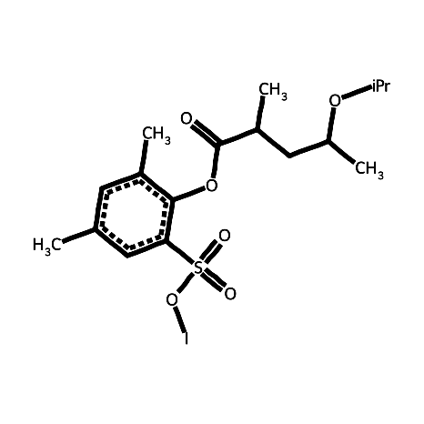 Cc1cc(C)c(OC(=O)C(C)CC(C)OC(C)C)c(S(=O)(=O)OI)c1